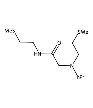 CCCN(CCSC)CC(=O)NCCSC